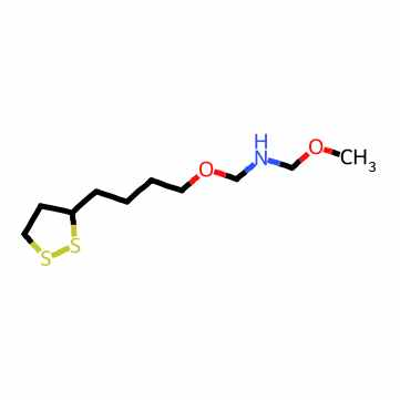 COCNCOCCCCC1CCSS1